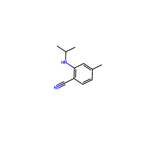 Cc1ccc(C#N)c(NC(C)C)c1